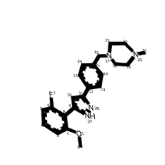 COc1cccc(F)c1-c1cc(-c2ccc(CN3CCN(C)CC3)cc2)n[nH]1